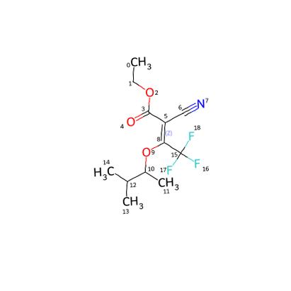 CCOC(=O)/C(C#N)=C(\OC(C)C(C)C)C(F)(F)F